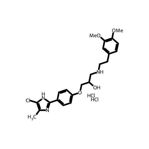 COc1ccc(CCNCC(O)COc2ccc(-c3nc(C)c(Cl)[nH]3)cc2)cc1OC.Cl.Cl